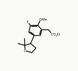 CCOC(=O)Cc1cc(C2CCOC2(C)C)cc(F)c1OC